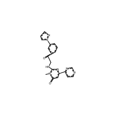 Cn1c(NCC(=O)c2cccc(-n3cccn3)c2)nc(-c2ccncn2)cc1=O